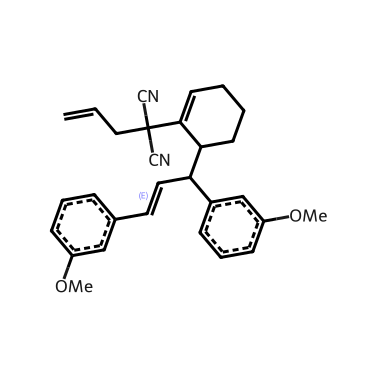 C=CCC(C#N)(C#N)C1=CCCCC1C(/C=C/c1cccc(OC)c1)c1cccc(OC)c1